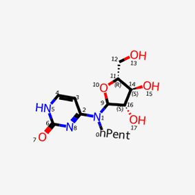 CCCCCN(c1cc[nH]c(=O)n1)C1O[C@H](CO)[C@@H](O)[C@@H]1O